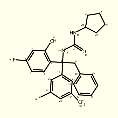 Cc1cc(F)ccc1C(Cc1ccccc1)(NC(=O)NC1CCCC1)c1cc(F)cc(C(F)(F)F)c1